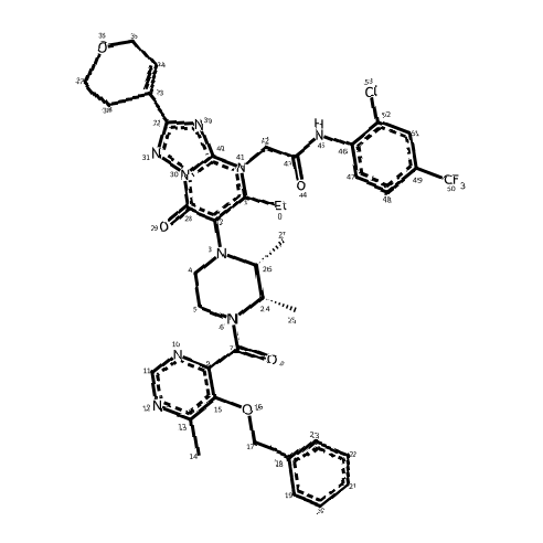 CCc1c(N2CCN(C(=O)c3ncnc(C)c3OCc3ccccc3)[C@@H](C)[C@H]2C)c(=O)n2nc(C3=CCOCC3)nc2n1CC(=O)Nc1ccc(C(F)(F)F)cc1Cl